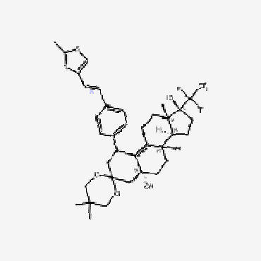 Cc1nc(/C=C/c2ccc(C3CC4(C[C@]5(O)CC[C@@H]6C(=C35)CC[C@@]3(C)[C@H]6CC[C@@]3(O)C(F)(F)C(F)(F)F)OCC(C)(C)CO4)cc2)cs1